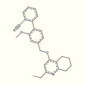 CCc1cc(OCc2ccc(-c3ccccc3C#N)c(OC)c2)c2c(n1)CCCC2